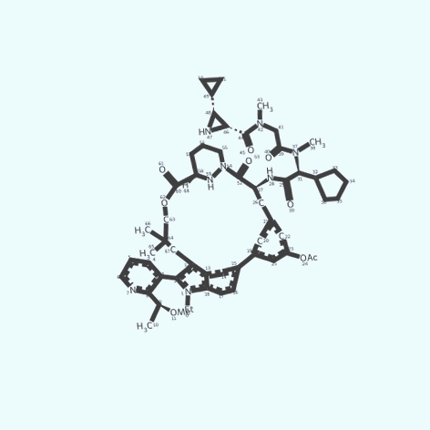 CCn1c(-c2cccnc2[C@H](C)OC)c2c3cc(ccc31)-c1cc(cc(OC(C)=O)c1)C[C@H](NC(=O)[C@H](C1CCCC1)N(C)C(=O)CN(C)C(=O)[C@@H]1N[C@@H]1C1CC1)C(=O)N1CCC[C@H](N1)C(=O)OCC(C)(C)C2